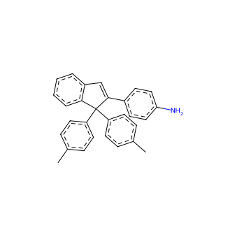 Cc1ccc(C2(c3ccc(C)cc3)C(c3ccc(N)cc3)=Cc3ccccc32)cc1